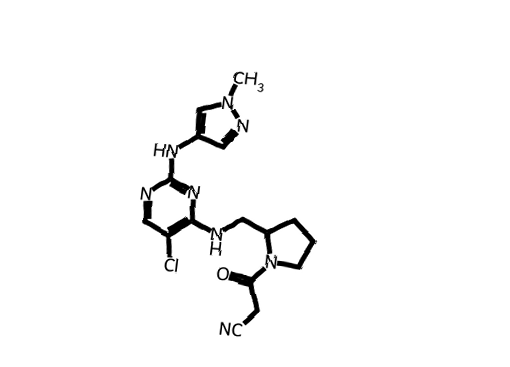 Cn1cc(Nc2ncc(Cl)c(NCC3CCCN3C(=O)CC#N)n2)cn1